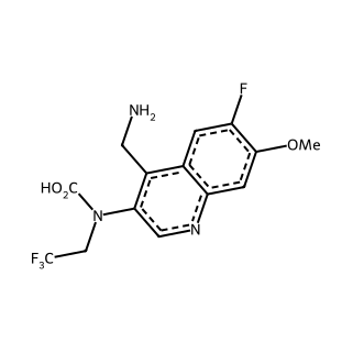 COc1cc2ncc(N(CC(F)(F)F)C(=O)O)c(CN)c2cc1F